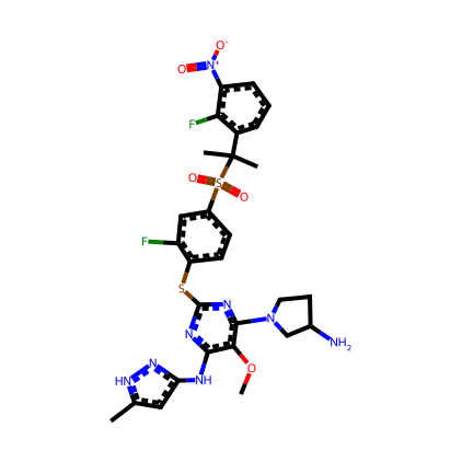 COc1c(Nc2cc(C)[nH]n2)nc(Sc2ccc(S(=O)(=O)C(C)(C)c3cccc([N+](=O)[O-])c3F)cc2F)nc1N1CCC(N)C1